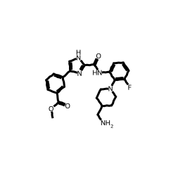 COC(=O)c1cccc(-c2c[nH]c(C(=O)Nc3cccc(F)c3N3CCC(CN)CC3)n2)c1